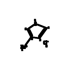 [Cl-].[Zn+][c]1ccsc1